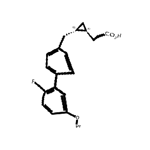 CC(C)Oc1ccc(F)c(-c2ccc(C[C@@H]3C[C@H]3CC(=O)O)cc2)c1